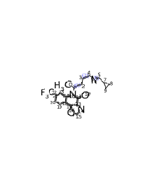 C\C(=C/C=C\N=C\C1CC1)n1c(=O)c2ncoc2c2ccc(C(F)(F)F)cc21